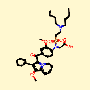 CCCCN(CCCC)CCS(=O)(=O)N(CC(=O)O)c1ccc(C(=O)c2c(-c3ccccc3)c(OC)c3ccccn23)cc1OC